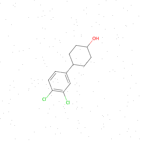 OC1CC[C](c2ccc(Cl)c(Cl)c2)CC1